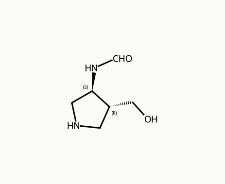 O=CN[C@@H]1CNC[C@H]1CO